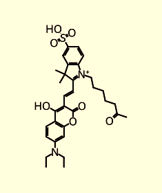 CCN(CC)c1ccc2c(O)c(/C=C/C3=[N+](CCCCCC(C)=O)c4ccc(S(=O)(=O)O)cc4C3(C)C)c(=O)oc2c1